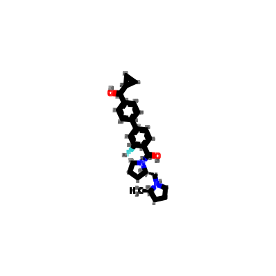 C[C@@H]1CCCN1C[C@@H]1CCCN1C(=O)c1ccc(-c2ccc(C(=O)C3CC3)cc2)cc1F